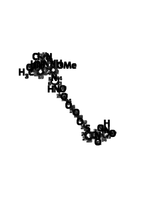 COc1cc(N2CCC(NC(=O)COCCOCCOCCOCCSc3cccc4c3CN(C3CCC(=O)NC3=O)C4=O)CC2)ccc1Nc1ncc(Cl)c(Nc2ccccc2P(C)(C)=O)n1